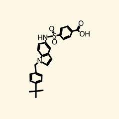 CC(C)(C)c1ccc(Cn2ccc3cc(NS(=O)(=O)c4ccc(C(=O)O)cc4)ccc32)cc1